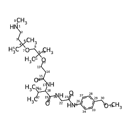 CNCCC(C)(C)OCC(C)(C)OCCC(=O)NC(C(=O)NCC(=O)Nc1ccc(COC)cc1)C(C)C